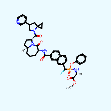 CCCOC(=O)[C@H](C)NP(=O)(Oc1ccccc1)C(F)c1ccc2ccc(C(=O)N[C@H]3CCC[C@H]4CC[C@@H](C(=O)N5CC(c6cccnc6)CC56CC6)N4C3=O)cc2c1